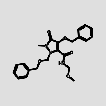 COCNC(=O)c1c(OCc2ccccc2)c(=O)n(C)n1COCc1ccccc1